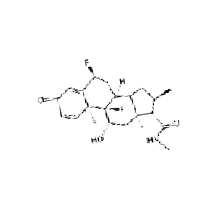 CNC(=O)[C@H]1[C@H](C)CC2[C@@H]3C[C@H](F)C4=CC(=O)C=C[C@]4(C)[C@@]3(F)[C@@H](O)C[C@@]21C